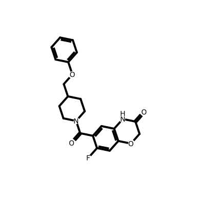 O=C1COc2cc(F)c(C(=O)N3CCC(COc4ccccc4)CC3)cc2N1